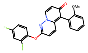 COc1ccccc1-c1c(=O)ccn2nc(Oc3ccc(F)cc3F)ccc12